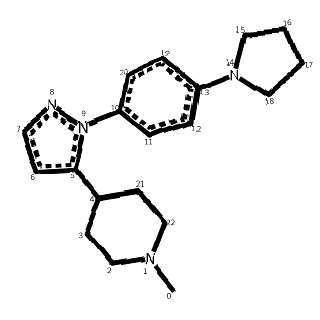 CN1CCC(c2ccnn2-c2ccc(N3CCCC3)cc2)CC1